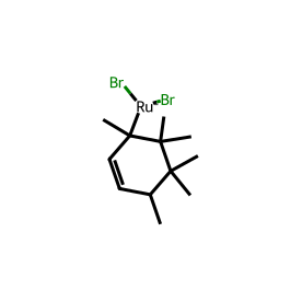 CC1C=C[C](C)([Ru-]([Br])[Br])C(C)(C)C1(C)C